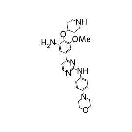 COc1cc(-c2ccnc(Nc3ccc(N4CCOCC4)cc3)n2)cc(N)c1OC1CCNCC1